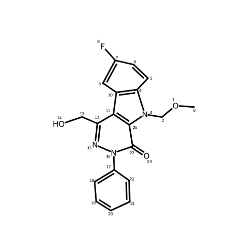 COCn1c2ccc(F)cc2c2c(CO)nn(-c3ccccc3)c(=O)c21